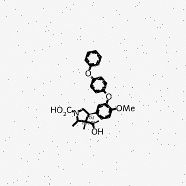 COc1ccc([C@@H]2CN(C(=O)O)C(C)[C@@]2(C)[C@@H](C)O)cc1Oc1ccc(Oc2ccccc2)cc1